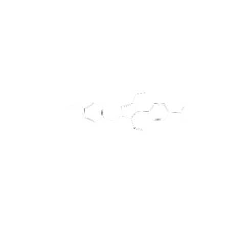 CCc1cn(Cc2ccc(OC)cc2)c(C(=O)O)c1-c1ccc([N+](=O)[O-])cc1